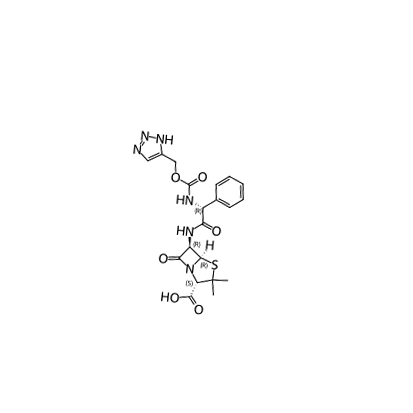 CC1(C)S[C@@H]2[C@H](NC(=O)[C@H](NC(=O)OCc3cnn[nH]3)c3ccccc3)C(=O)N2[C@H]1C(=O)O